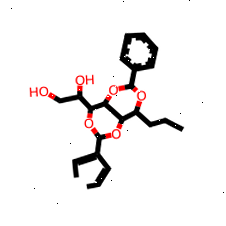 C/C=C\C(=C/C)C1OC(C(O)CO)C2OC(c3ccccc3)OC(CCC)C2O1